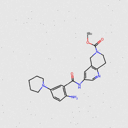 CC(C)(C)OC(=O)N1CCc2ncc(NC(=O)c3cc(N4CCCCC4)ccc3N)cc2C1